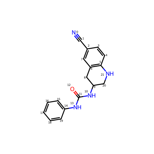 N#Cc1ccc2c(c1)CC(NC(=O)Nc1ccccc1)CN2